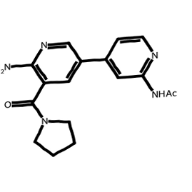 CC(=O)Nc1cc(-c2cnc(N)c(C(=O)N3CCCC3)c2)ccn1